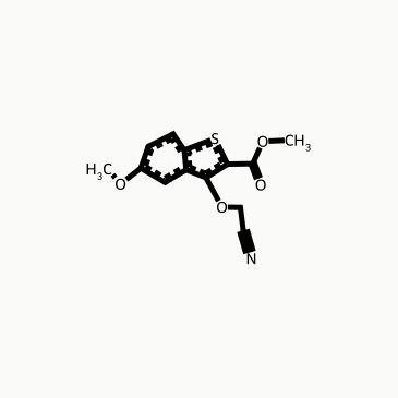 COC(=O)c1sc2ccc(OC)cc2c1OCC#N